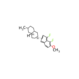 COc1ccc2cc([C@@H]3CC[C@@H]4CC(C)CCC4C3)cc(F)c2c1F